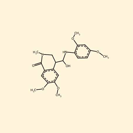 COc1ccc(NC(O)C2CN(C)C(=O)c3cc(OC)c(OC)cc32)c(OC)c1